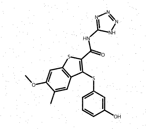 COc1cc2sc(C(=O)Nc3nnn[nH]3)c(Sc3cccc(O)c3)c2cc1C